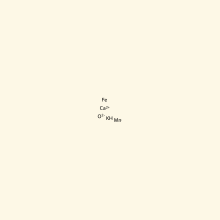 [Ca+2].[Fe].[KH].[Mn].[O-2]